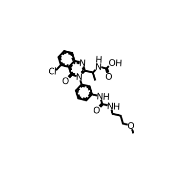 COCCCNC(=O)Nc1cccc(-n2c(C(C)NC(=O)O)nc3cccc(Cl)c3c2=O)c1